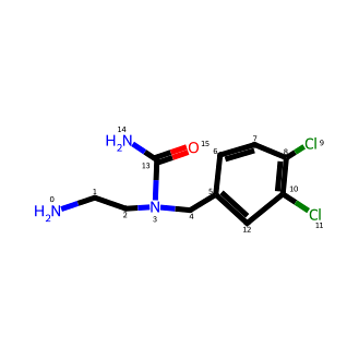 NCCN(Cc1ccc(Cl)c(Cl)c1)C(N)=O